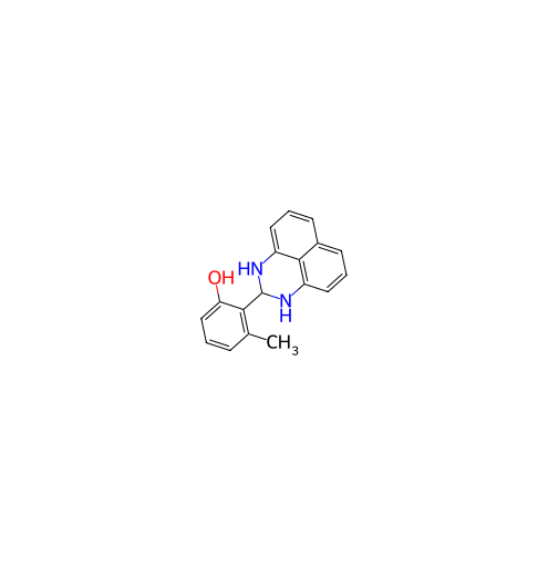 Cc1cccc(O)c1C1Nc2cccc3cccc(c23)N1